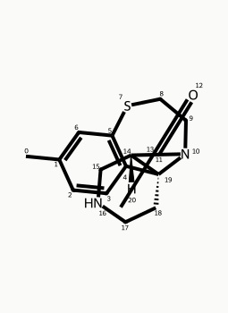 Cc1ccc2c(c1)SCCN1C(=O)C[C@H]3CNCC[C@]231